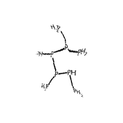 [3H]P(P(P)P)P(P)PP